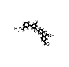 CC(=O)c1ccc(-c2cccc(Oc3cc(C)cc(-c4cccc(CN)c4)c3)n2)c(C(=O)O)c1